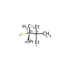 CCC[C@](C)(F)C(C)(CC)CC